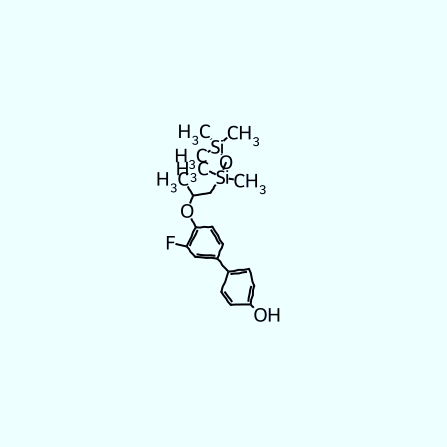 CC(C[Si](C)(C)O[Si](C)(C)C)Oc1ccc(-c2ccc(O)cc2)cc1F